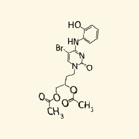 CC(=O)OCC(CCn1cc(Br)c(Nc2ccccc2O)nc1=O)OC(C)=O